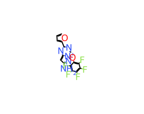 NC1=N[N+]2(Oc3c(F)c(F)c(F)c(F)c3F)C=NC(c3ccco3)=NC2=C1